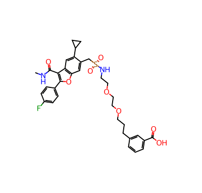 CNC(=O)c1c(-c2ccc(F)cc2)oc2cc(CS(=O)(=O)NCCOCCOCCCc3cccc(C(=O)O)c3)c(C3CC3)cc12